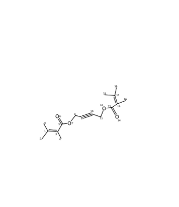 CC(C)=C(C)C(=O)OCC#CCOC(=O)C(C)=C(C)C